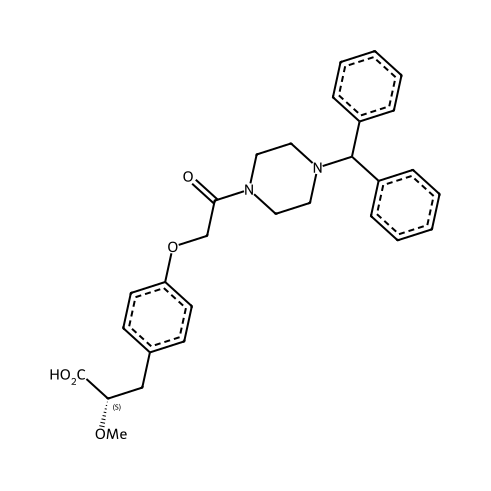 CO[C@@H](Cc1ccc(OCC(=O)N2CCN(C(c3ccccc3)c3ccccc3)CC2)cc1)C(=O)O